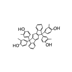 Cc1cc(C2(c3ccc(O)c(C)c3)c3ccccc3-c3cc4c(cc32)-c2ccccc2C4(c2ccc(O)c(C)c2)c2ccc(O)c(C)c2)ccc1O